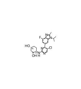 Cc1nc2c(F)cc(-c3nc(N[C@@H]4CC[C@@H](O)C[C@H]4O)ncc3Cl)cc2n1C(C)C